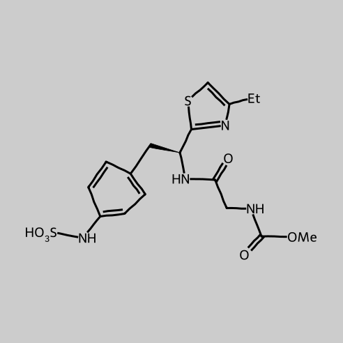 CCc1csc([C@H](Cc2ccc(NS(=O)(=O)O)cc2)NC(=O)CNC(=O)OC)n1